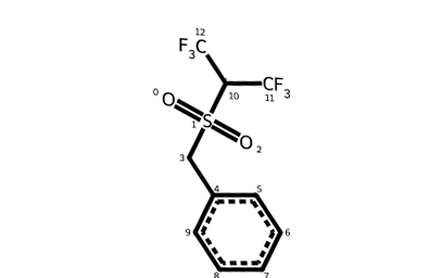 O=S(=O)(Cc1ccccc1)[C](C(F)(F)F)C(F)(F)F